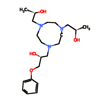 C[C@H](O)CN1CCN(C[C@@H](O)COc2ccccc2)CCN(C[C@H](C)O)CC1